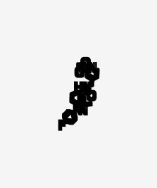 Cc1nn(-c2ccc(F)cc2)c2c1N(C(=O)NCc1ccnc(S(C)(=O)=O)c1)CCC2